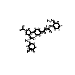 CC(C)N1CC(C(=O)NC2=CC(F)=C(F)CC2)C(c2ccc(/C=C/C(=O)Nc3ccccc3N)cc2)C1